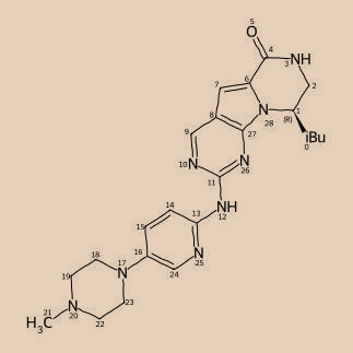 CCC(C)[C@@H]1CNC(=O)c2cc3cnc(Nc4ccc(N5CCN(C)CC5)cn4)nc3n21